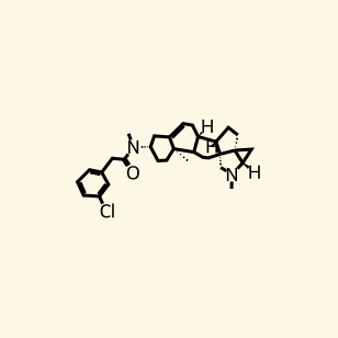 CN1C[C@]23CCC4[C@@H](CC=C5C[C@@H](N(C)C(=O)Cc6cccc(Cl)c6)CC[C@@]54C)[C@@H]2CC[C@@]32C[C@H]12